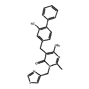 CCCCc1nc(C)n(Cc2cscn2)c(=O)c1Cc1ccc(-c2ccccc2)c(C#N)c1